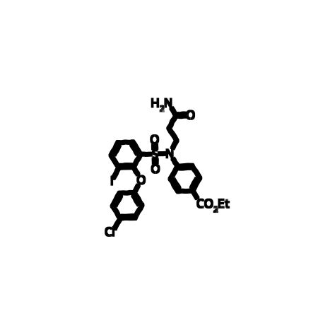 CCOC(=O)c1ccc(N(CCC(N)=O)S(=O)(=O)c2cccc(I)c2Oc2ccc(Cl)cc2)cc1